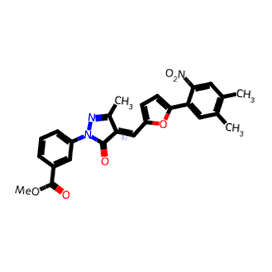 COC(=O)c1cccc(N2N=C(C)/C(=C\c3ccc(-c4cc(C)c(C)cc4[N+](=O)[O-])o3)C2=O)c1